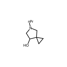 [CH2]CCN1CC(O)C2(CC2)C1